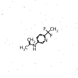 C=C(C)Nc1ccc(C(C)(F)F)nc1